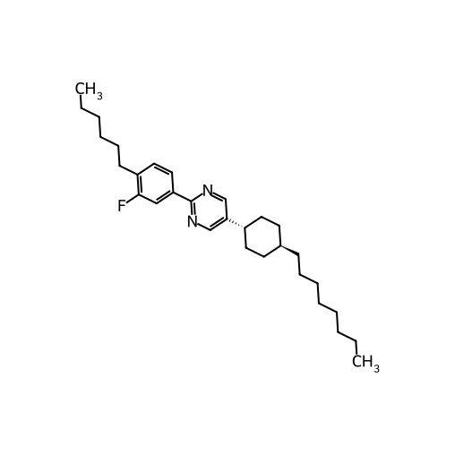 CCCCCCCC[C@H]1CC[C@H](c2cnc(-c3ccc(CCCCCC)c(F)c3)nc2)CC1